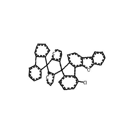 Clc1cccc2c1-c1c(ccc3c1oc1ccccc13)C21c2ccccc2C2(c3ccccc3-c3ccccc32)c2ccccc21